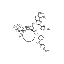 CCCN1CCN(C(=O)c2cccc(N[C@H]3CCCCC/C=C\[C@@H]4C[C@@]4(C(=O)NS(=O)(=O)C4(C)CC4)NC(=O)[C@@H]4C[C@@H](Oc5cc(-c6nc(C(C)C)cs6)nc6c(C)c(OC)ccc56)CN4C3=O)c2)CC1